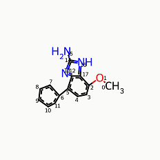 COc1ccc(-c2ccccc2)c2nc(N)[nH]c12